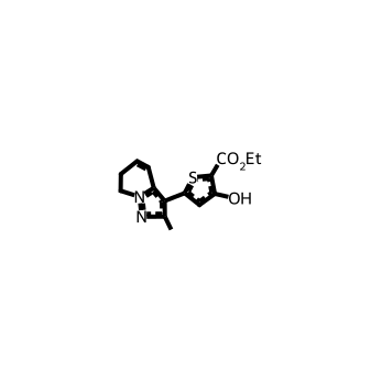 CCOC(=O)c1sc(-c2c(C)nn3c2C=CCC3)cc1O